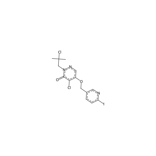 CC(C)(Cl)Cn1ncc(OCc2ccc(I)nc2)c(Cl)c1=O